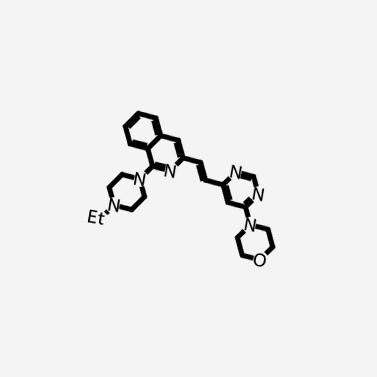 CCN1CCN(c2nc(/C=C/c3cc(N4CCOCC4)ncn3)cc3ccccc23)CC1